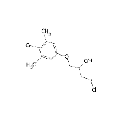 Cc1cc(OCC(O)CCCl)cc(C)c1Cl